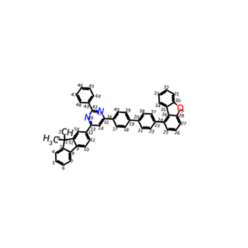 CC1(C)c2ccccc2-c2ccc(-c3cc(-c4ccc(-c5ccc(-c6cccc7oc8ccccc8c67)cc5)cc4)nc(-c4ccccc4)n3)cc21